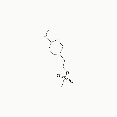 COC1CCC(CCOS(C)(=O)=O)CC1